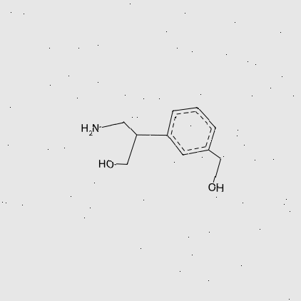 NCC(CO)c1cccc(CO)c1